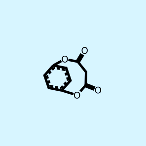 O=C1CC(=O)Oc2ccc(cc2)O1